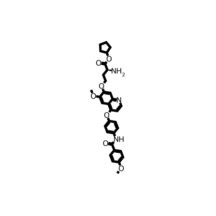 COc1ccc(C(=O)Nc2ccc(Oc3ccnc4cc(OCC[C@H](N)C(=O)OC5CCCC5)c(OC)cc34)cc2)cc1